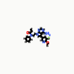 C=CC(=O)N(CCn1cc(-c2cnc(OC)c(F)c2)c2c(N)ncnc21)c1ccccc1